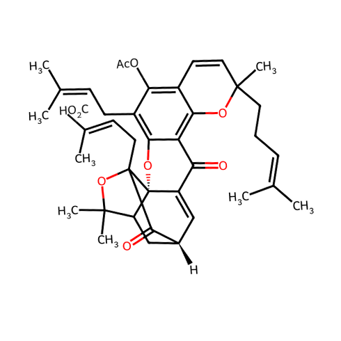 CC(=O)Oc1c2c(c3c(c1CC=C(C)C)O[C@]14C(=C[C@@H]5CC1C(C)(C)OC4(C/C=C(\C)C(=O)O)C5=O)C3=O)OC(C)(CCC=C(C)C)C=C2